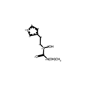 CN(O)C(=O)N(O)CCc1ccsc1